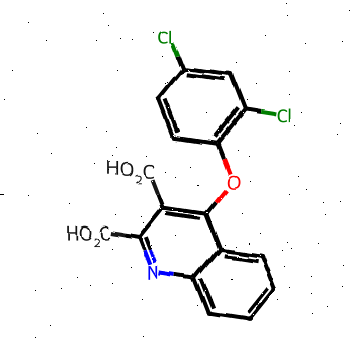 O=C(O)c1nc2ccccc2c(Oc2ccc(Cl)cc2Cl)c1C(=O)O